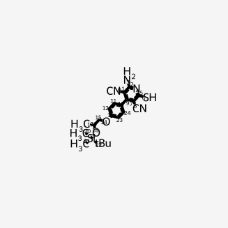 [C-]#[N+]c1c(N)nc(S)c(C#N)c1-c1ccc(OC[C@H](C)O[Si](C)(C)C(C)(C)C)cc1